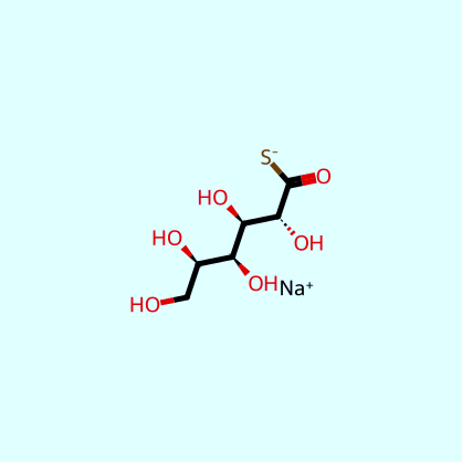 O=C([S-])[C@H](O)[C@H](O)[C@@H](O)[C@H](O)CO.[Na+]